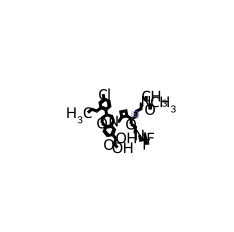 CCCc1cc(Cl)ccc1C1COc2ccc(C(O)C(=O)O)cc2N(CC2CCC2C(/C=C/CCN(C)C(C)=O)OCCN2CC(F)(F)C2)C1